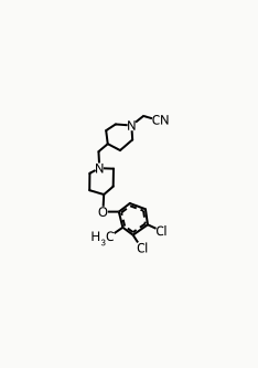 Cc1c(OC2CCN(CC3CCN(CC#N)CC3)CC2)ccc(Cl)c1Cl